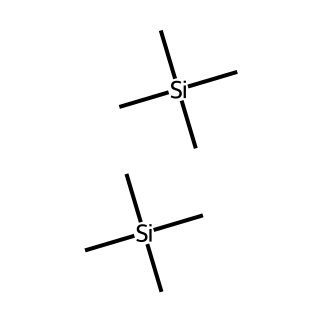 C[Si](C)(C)C.C[Si](C)(C)C